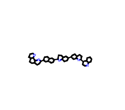 c1cnc2c(c1)ccc1ccc(-c3ccc4cc(-c5ccc6cc(-c7ccc8ccc(-c9ccnc%10ccccc9%10)nc8c7)ccc6n5)ccc4c3)nc12